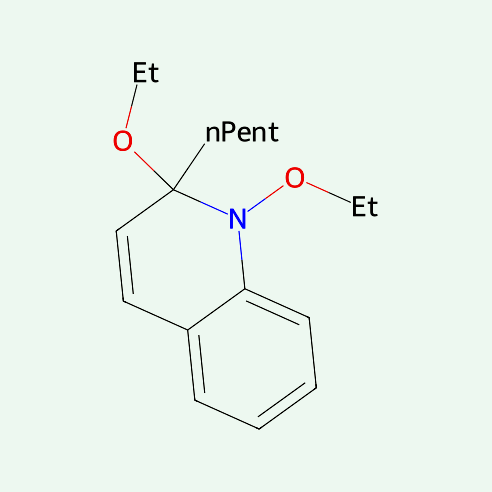 CCCCCC1(OCC)C=Cc2ccccc2N1OCC